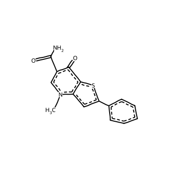 Cn1cc(C(N)=O)c(=O)c2sc(-c3ccccc3)cc21